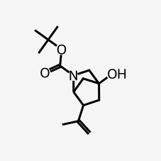 C=C(C)C1CC2(O)CC1N(C(=O)OC(C)(C)C)C2